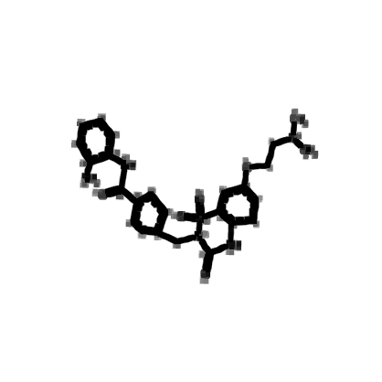 CN(C)CCOc1ccc2c(c1)S(=O)(=O)N(Cc1ccc(C(=O)Nc3ccccc3N)cc1)C(=O)N2